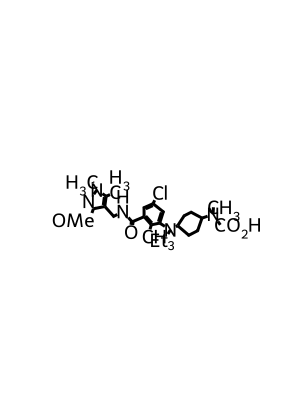 CCN(c1cc(Cl)cc(C(=O)NCc2c(OC)nn(C)c2C)c1C)C1CCC(N(C)C(=O)O)CC1